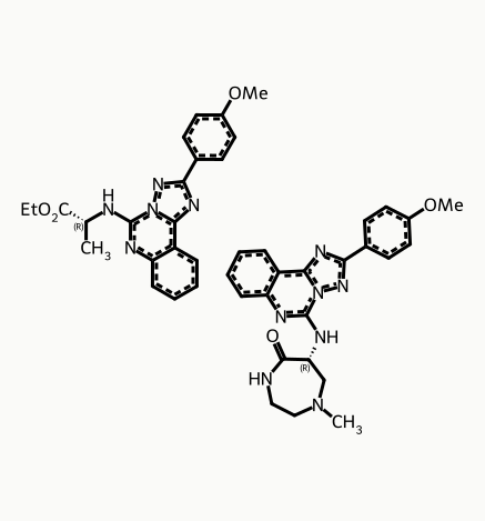 CCOC(=O)[C@@H](C)Nc1nc2ccccc2c2nc(-c3ccc(OC)cc3)nn12.COc1ccc(-c2nc3c4ccccc4nc(N[C@@H]4CN(C)CCNC4=O)n3n2)cc1